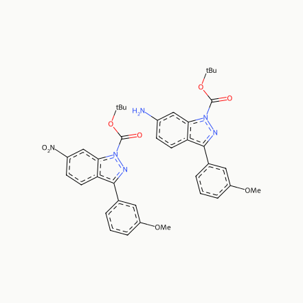 COc1cccc(-c2nn(C(=O)OC(C)(C)C)c3cc(N)ccc23)c1.COc1cccc(-c2nn(C(=O)OC(C)(C)C)c3cc([N+](=O)[O-])ccc23)c1